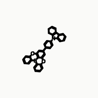 C1=Cc2c(n(-c3ccc(-c4cc5c6c(c4)Oc4ccccc4B6c4ccccc4O5)cc3)c3ccccc23)CC1